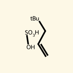 C=CCC(C)(C)C.O=S(=O)(O)O